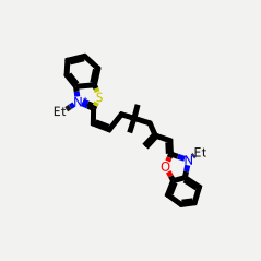 C=C(/C=C1\Oc2ccccc2N1CC)CC(C)(C)C/C=C\c1sc2ccccc2[n+]1CC